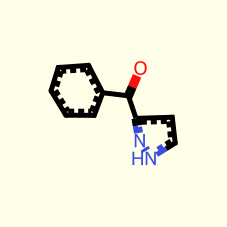 O=C(c1ccccc1)c1cc[nH]n1